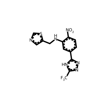 O=[N+]([O-])c1ccc(-c2nnc(C(F)(F)F)[nH]2)cc1NCc1cncs1